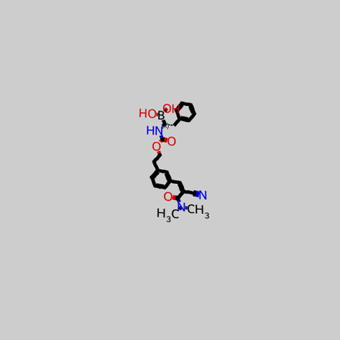 CN(C)C(=O)C(C#N)=Cc1cccc(CCOC(=O)N[C@@H](Cc2ccccc2)B(O)O)c1